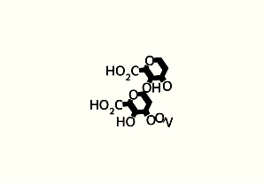 O=C(O)c1occc(=O)c1O.O=C(O)c1occc(=O)c1O.[O]=[V]